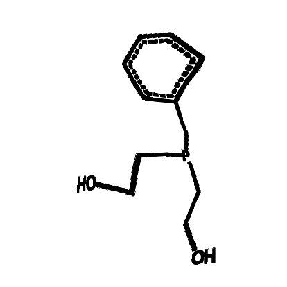 OCCP(CCO)Cc1ccccc1